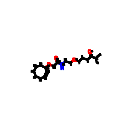 CC(C)C(=O)CCCOCCNC(=O)COC1C#CCCCCC1